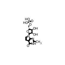 Cc1nc2c(ccn2C2O[C@H](COP(=O)(O)O)[C@@H](O)[C@H]2O)c(=O)[nH]1